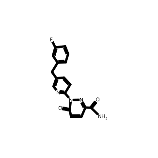 NC(=O)c1ccc(=O)n(-c2ccc(Cc3cccc(F)c3)cn2)n1